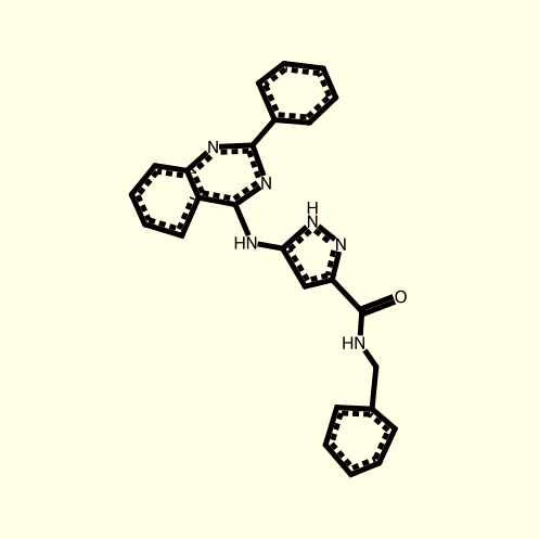 O=C(NCc1ccccc1)c1cc(Nc2nc(-c3ccccc3)nc3ccccc23)[nH]n1